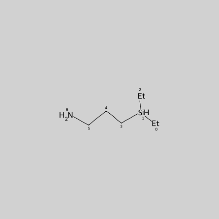 CC[SiH](CC)CCCN